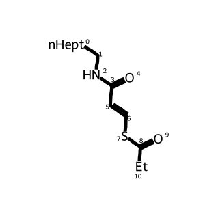 CCCCCCCCNC(=O)C=CSC(=O)CC